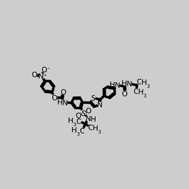 CC(C)NC(=O)Nc1ccc(-c2ncc(-c3ccc(NC(=O)Oc4ccc([N+](=O)[O-])cc4)cc3S(=O)(=O)NC(C)(C)C)s2)cc1